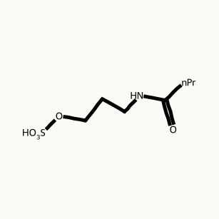 CCCC(=O)NCCCOS(=O)(=O)O